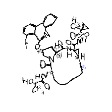 CC1(S(=O)(=O)NC(=O)[C@@]23C[C@H]2/C=C\CCCCC[C@H](NC(=O)[C@H](O)C(F)(F)F)C(=O)N2C[C@H](Oc4nc5ccccc5c5cccc(F)c45)C[C@H]2C(=O)N3)CC1